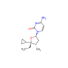 CC[C@@]1(C2CC2)O[C@@H](n2ccc(N)nc2=O)C[C@@H]1C